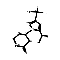 CC(C)c1cc(C(F)(F)F)nn1C1CCNC(=O)C1